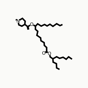 C=C(OC(CCCCCCCCC)CCCCCCCCC(=O)OCC(CCCC)CCCCCC)C1CCN(C)CC1